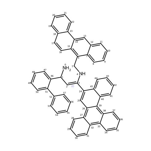 NC(/C=C(\NCc1c2ccccc2cc2c1ccc1ccccc12)c1cc2c3ccccc3c3ccccc3c2c2ccccc12)c1ccccc1-c1ccccc1